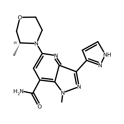 C[C@@H]1COCCN1c1cc(C(N)=O)c2c(n1)c(-c1cc[nH]n1)nn2C